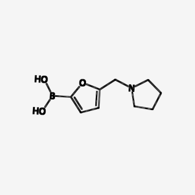 OB(O)c1ccc(CN2CCCC2)o1